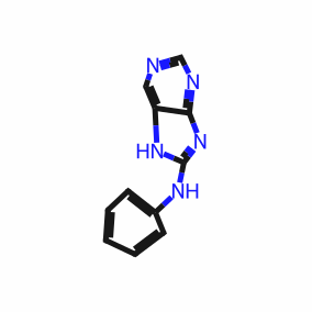 c1ccc(Nc2nc3ncncc3[nH]2)cc1